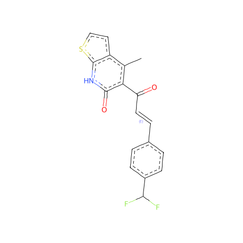 Cc1c(C(=O)/C=C/c2ccc(C(F)F)cc2)c(=O)[nH]c2sccc12